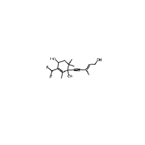 CC(C#CC1(O)C(C)=C(C(F)F)C(O)CC1(C)C)=CCO